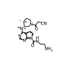 C[C@@H]1CCN(C(=O)CC#N)C[C@@H]1N(C)c1ncnc2c1ccn2C(=O)NCCN